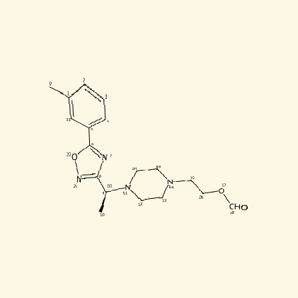 Cc1cccc(-c2nc([C@H](C)N3CCN(CCOC=O)CC3)no2)c1